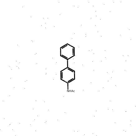 CC(=O)Nc1ccc(-c2[c]cccc2)cc1